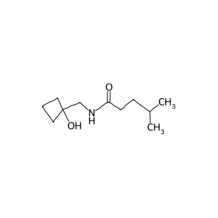 CC(C)CCC(=O)NCC1(O)CCC1